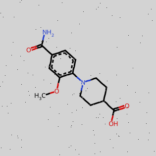 COc1cc(C(N)=O)ccc1N1CCC(C(=O)O)CC1